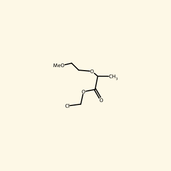 COCCOC(C)C(=O)OCCl